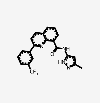 Cc1cc(NC(=O)c2cccc3ccc(-c4cccc(C(F)(F)F)c4)nc23)[nH]n1